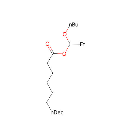 CCCCCCCCCCCCCCCC(=O)OC(CC)OCCCC